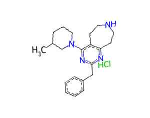 CC1CCCN(c2nc(Cc3ccccc3)nc3c2CCNCC3)C1.Cl